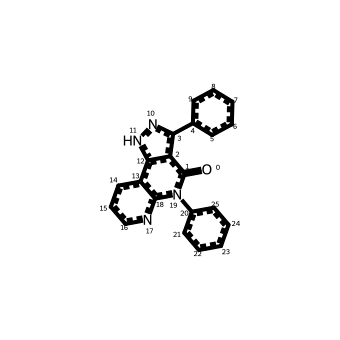 O=c1c2c(-c3ccccc3)n[nH]c2c2cccnc2n1-c1ccccc1